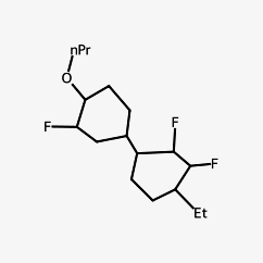 CCCOC1CCC(C2CCC(CC)C(F)C2F)CC1F